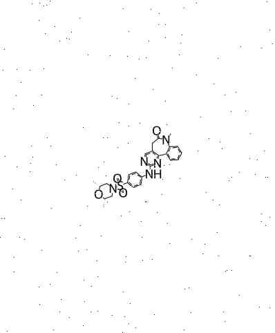 C[C@@H]1CN(S(=O)(=O)c2ccc(Nc3ncc4c(n3)-c3ccccc3N(C)C(=O)C4)cc2)C[C@H](C)O1